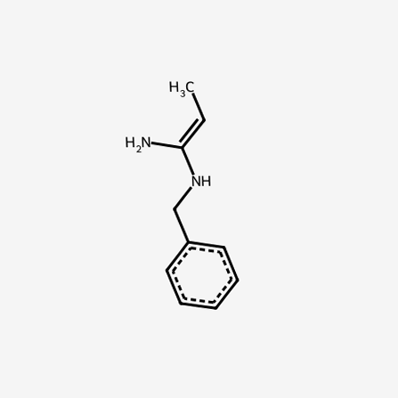 CC=C(N)NCc1ccccc1